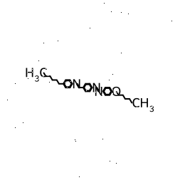 CCCCCCOc1ccc(N=Nc2ccc(C=Nc3ccc(CCCCCC)cc3)cc2)cc1